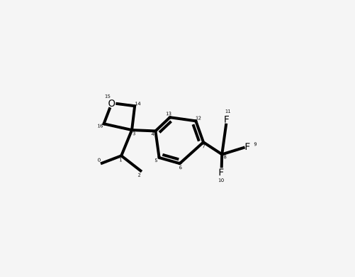 CC(C)C1(c2ccc(C(F)(F)F)cc2)COC1